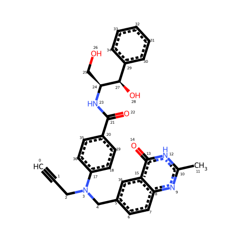 C#CCN(Cc1ccc2nc(C)[nH]c(=O)c2c1)c1ccc(C(=O)N[C@@H](CO)[C@H](O)c2ccccc2)cc1